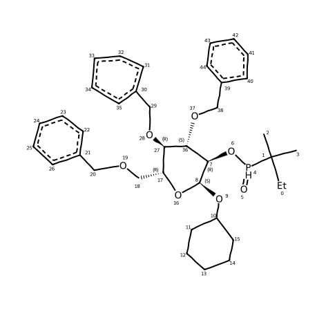 CCC(C)(C)[PH](=O)O[C@H]1[C@@H](OC2CCCCC2)O[C@H](COCc2ccccc2)[C@@H](OCc2ccccc2)[C@@H]1OCc1ccccc1